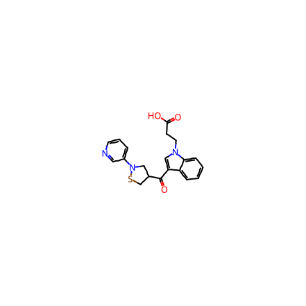 O=C(O)CCn1cc(C(=O)C2CSN(c3cccnc3)C2)c2ccccc21